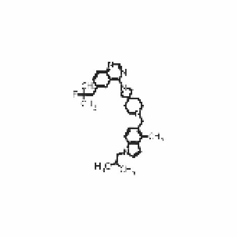 Cc1c(CN2CCC3(CC2)CN(c2ncnc4ccc(CC(C)(C)F)cc24)C3)ccc2c1ccn2CC(C)C